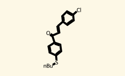 CCCCSc1ccc(C(=O)C=Cc2ccc(Cl)cc2)cc1